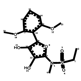 CCS(=O)(=O)N(C)c1oc(-c2c(OC)cccc2OC)c(O)c1O